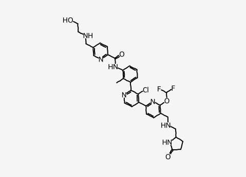 Cc1c(NC(=O)c2ccc(CNCCO)cn2)cccc1-c1nccc(-c2ccc(CNCC3CCC(=O)N3)c(OC(F)F)n2)c1Cl